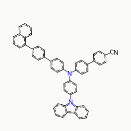 N#Cc1ccc(-c2ccc(N(c3ccc(-c4ccc(-c5cccc6ccccc56)cc4)cc3)c3ccc(-n4c5ccccc5c5ccccc54)cc3)cc2)cc1